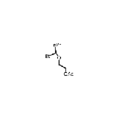 CCCC(CC)OCCOC(C)=O